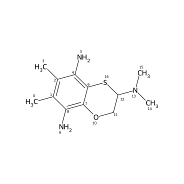 Cc1c(C)c(N)c2c(c1N)OCC(N(C)C)S2